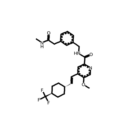 CNC(=O)Cc1cccc(CNC(=O)c2cc(/C=C/[C@H]3CC[C@H](C(F)(F)F)CC3)c(OC)cn2)c1